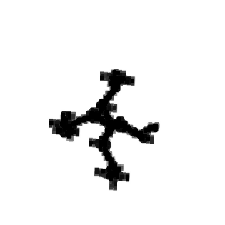 COCCCOCC(CO)COCCCOP(=O)(O)OCC(COCCCOP(=O)(O)OCCCCCCO[C@@H]1OC(CO)[C@H](O)[C@H](O)C1C)(COCCCOP(=O)(O)OCCCCCCO[C@@H]1OC(CO)[C@H](O)[C@H](O)C1NC(C)=O)COCCCOP(=O)(O)OCCCCCCO[C@@H]1CC(CO)[C@H](O)[C@H](O)C1C